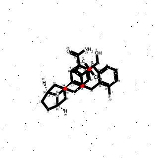 CC(C)(CO)C(=O)N(CCN1[C@@H]2CC[C@H]1C[C@@H](c1cccc(C(N)=O)c1)C2)Cc1c(F)cccc1F